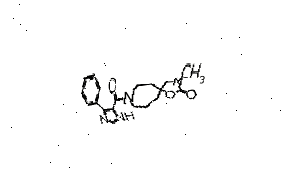 CN1CC2(CCCN(C(=O)c3[nH]cnc3-c3ccccc3)CC2)OC1=O